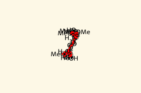 COc1ccc(C2c3cc(CO)c(CO)cc3CC[N+]2(C)CCCOC(=O)/C=C/C(=O)OCCC[N+]2(C)CCc3cc(OC)c(OC)cc3C2Cc2cc(CO)c(OC)c(OC)c2)cc1CO